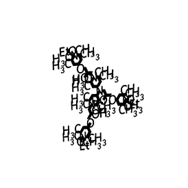 CCON1C(C)(C)CC(OCC(O)CN(C2CC(C)(C)N(CC(O)COC3CC(C)(C)N(OCC)C(C)(C)C3)C(C)(C)C2)C2CC(C)(C)N(CC(O)COC3CC(C)(C)N(OCC)C(C)(C)C3)C(C)(C)C2)CC1(C)C